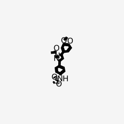 CC(=O)N1N=C(c2ccc(NS(C)(=O)=O)cc2)CC1c1ccc2c(c1)OCO2